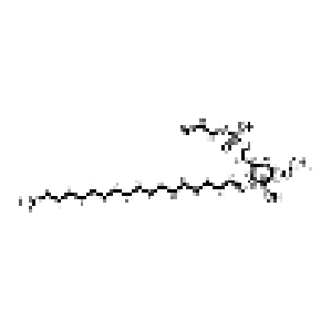 CCCCCCCCCCCCCCCCCCO[C@H]1[C@@H](O)[C@H](OC)O[C@@H]1COP(=O)(O)OCCBr